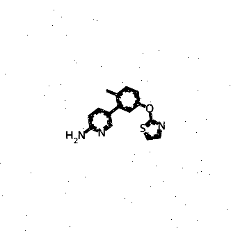 Cc1ccc(Oc2nccs2)cc1-c1ccc(N)nc1